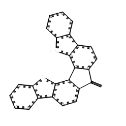 O=C1c2ccc3c([nH]c4ccccc43)c2-c2c1ccc1c2[nH]c2ccccc21